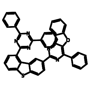 c1ccc(-c2nc(-c3ccccc3)nc(-c3cccc4sc5ccc(-c6nc(-c7ccccc7)c7oc8ccccc8c7n6)cc5c34)n2)cc1